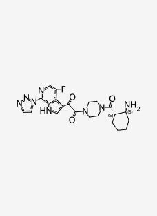 N[C@H]1CCCC[C@@H]1C(=O)N1CCN(C(=O)C(=O)c2c[nH]c3c(-n4ccnn4)ncc(F)c23)CC1